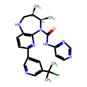 C[C@@H]1CNc2ccc(-c3cncc(C(C)(C)F)c3)nc2N(C(=O)Nc2ccncn2)[C@@H]1C